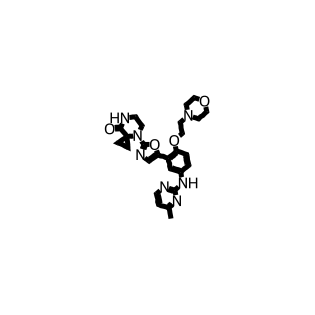 Cc1ccnc(Nc2ccc(OCCN3CCOCC3)c(-c3cnc(N4CCNC(=O)C45CC5)o3)c2)n1